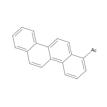 CC(=O)c1cccc2c1ccc1c3ccccc3ccc21